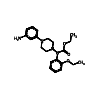 CCOC(=O)N(c1ccccc1OCC)N1CCN(c2cccc(N)c2)CC1